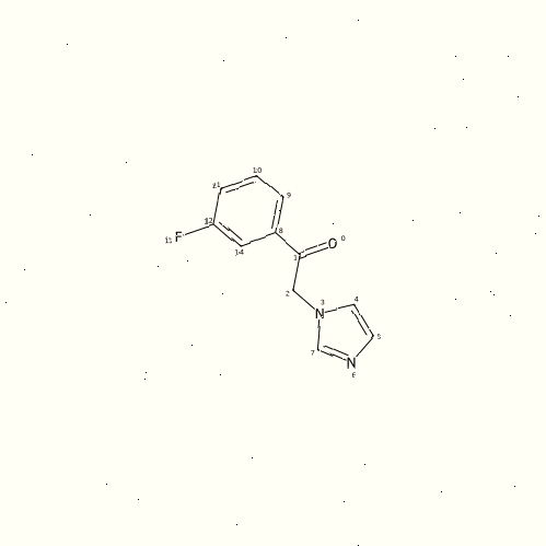 O=C(Cn1ccnc1)c1cccc(F)c1